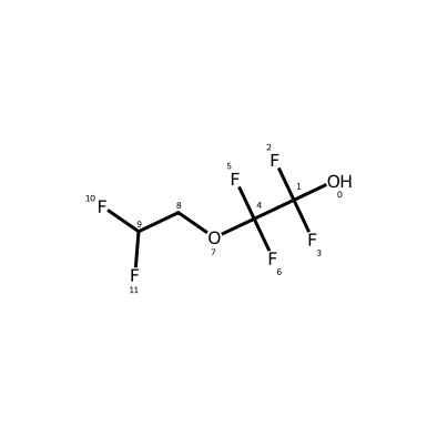 OC(F)(F)C(F)(F)OCC(F)F